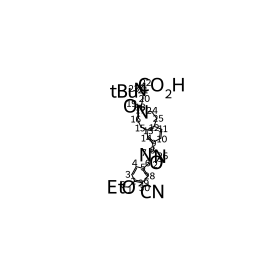 CCOc1ccc(-c2nc(-c3ccc4c(c3)CCN(C(=O)CN(C(=O)O)C(C)(C)C)CC4)no2)cc1C#N